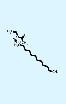 C#N.C=COC(C)=O.CCCCCCCCCCCC